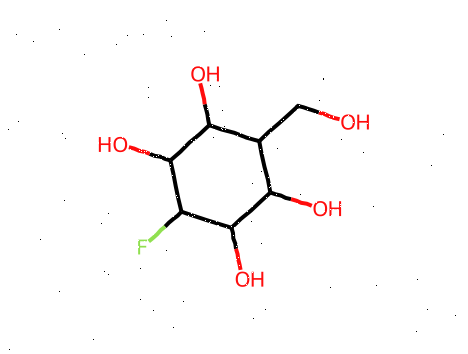 OCC1C(O)C(O)C(F)C(O)C1O